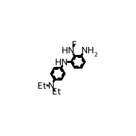 CCN(CC)c1ccc(Nc2cccc(N)c2NF)cc1